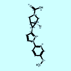 COc1ccc(-n2ccc([C@H]3C4CN(C(=O)O)C[C@H]43)n2)nc1